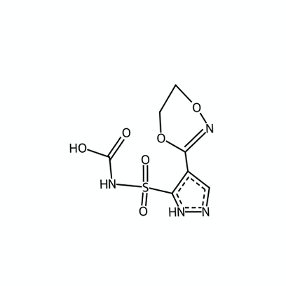 O=C(O)NS(=O)(=O)c1[nH]ncc1C1=NOCCO1